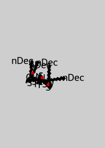 CCCCCCCCCCCCCCCCCCC1(CCCCCCCCCCCCCCCCCC)Oc2ccsc2-c2sc(-c3c(F)c(F)c(-c4cc5c(s4)-c4sccc4OC5(CCCCCCCCCCCCCCCCCC)CCCCCCCCCCCCCCCCCC)c4nsnc34)cc21